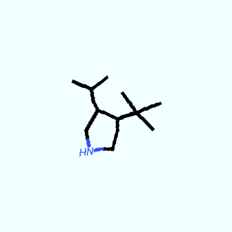 CC(C)C1CNCC1C(C)(C)C